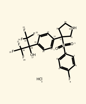 Cl.O=S(=O)(c1ccc(F)cc1)C1(c2ccc(C(O)(C(F)(F)F)C(F)(F)F)cc2)CCNC1